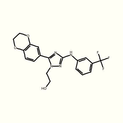 OCCn1nc(Nc2cccc(C(F)(F)F)c2)nc1-c1ccc2c(c1)OCCO2